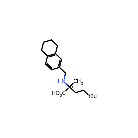 CC(C)(C)CC[C@@](C)(NCc1ccc2c(c1)CCCC2)C(=O)O